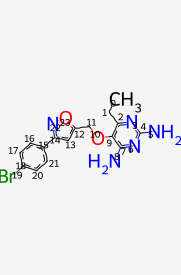 CCc1nc(N)nc(N)c1OCc1cc(-c2ccc(Br)cc2)no1